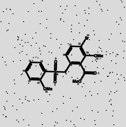 COC(=O)c1c(CS(=O)(=O)c2ccccc2OC)ccc(Br)c1OC